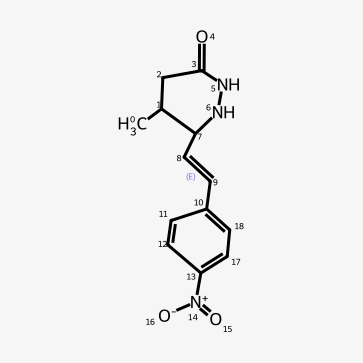 CC1CC(=O)NNC1/C=C/c1ccc([N+](=O)[O-])cc1